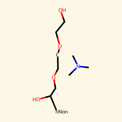 CCCCCCCCCC(O)COCCOCCO.CN(C)C